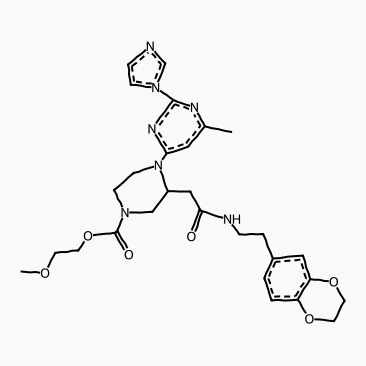 COCCOC(=O)N1CCN(c2cc(C)nc(-n3ccnc3)n2)C(CC(=O)NCCc2ccc3c(c2)OCCO3)C1